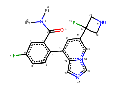 CCN(C(=O)c1cc(F)ccc1-c1cc(C2(F)CNC2)cn2cncc12)C(C)C